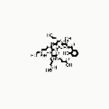 O=C(O)CCNC(=O)[C@@H](CCCNO)NC(=O)[C@@H](CCCN(O)CO)NC(=O)[C@H](CCO)NC(=O)[C@H](CO)NC(=O)c1ccccc1O